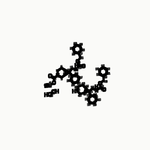 CC(C)(C)OC(=O)N1CCC2C(C1)C2(CNC(=O)OCc1ccccc1)c1ccccn1.Cl.Cl.O=C(NCC1(c2ccccn2)C2CCNCC21)OCc1ccccc1